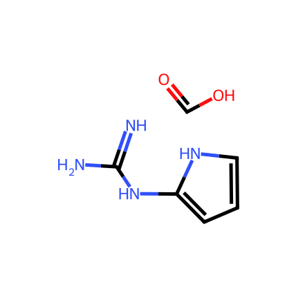 N=C(N)Nc1ccc[nH]1.O=CO